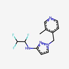 Cc1cnccc1Cn1ccc(NC(F)C(F)F)n1